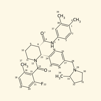 Cc1ccc(NC(=O)[C@H]2CCCN(C(=O)c3c(C)cccc3F)[C@H]2c2ccc(CN3CCCC3C)cc2)cc1C